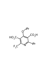 CC(C)Oc1c(C(=O)O)c(C(C)C)nc(C(F)(F)F)c1C(=O)O